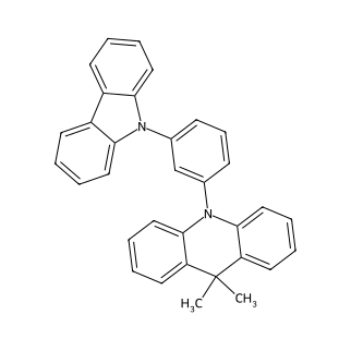 CC1(C)c2ccccc2N(c2cccc(-n3c4ccccc4c4ccccc43)c2)c2ccccc21